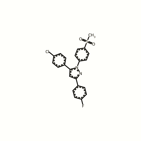 CS(=O)(=O)c1ccc(-n2nc(-c3ccc(F)cc3)cc2-c2ccc(Cl)cc2)cc1